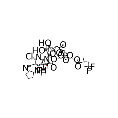 CC1(C(=O)OCOP(=O)(CS(=O)(=O)C[C@H]2O[C@@H](n3ccc4c(NC5CCCC5)c(C#N)c(Cl)nc43)[C@H](O)[C@@H]2O)OCOC(=O)C2(C)CC(F)(F)C2)CC(F)(F)C1